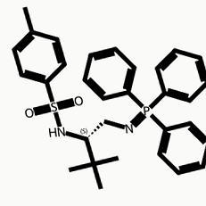 Cc1ccc(S(=O)(=O)N[C@H](CN=P(c2ccccc2)(c2ccccc2)c2ccccc2)C(C)(C)C)cc1